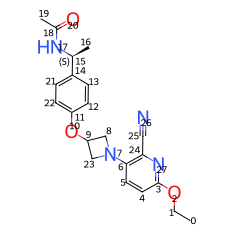 CCOc1ccc(N2CC(Oc3ccc([C@H](C)NC(C)=O)cc3)C2)c(C#N)n1